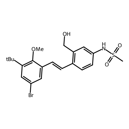 COc1c(C=Cc2ccc(NS(C)(=O)=O)cc2CO)cc(Br)cc1C(C)(C)C